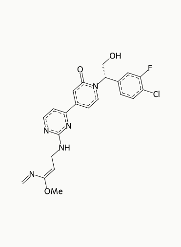 C=N/C(=C\CNc1nccc(-c2ccn([C@H](CO)c3ccc(Cl)c(F)c3)c(=O)c2)n1)OC